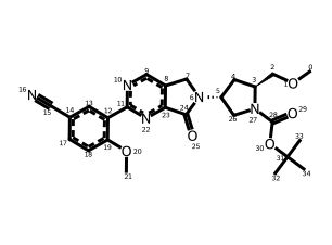 COC[C@@H]1C[C@@H](N2Cc3cnc(-c4cc(C#N)ccc4OC)nc3C2=O)CN1C(=O)OC(C)(C)C